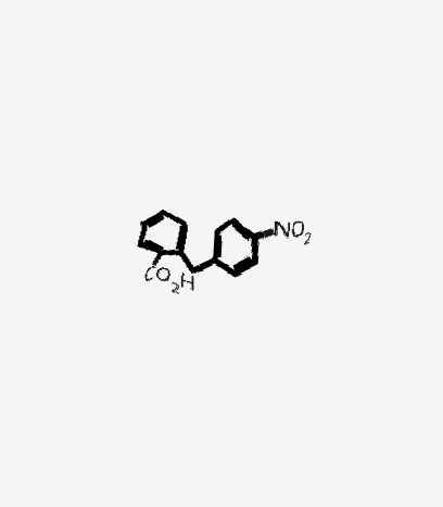 O=C(O)c1ccccc1Cc1ccc([N+](=O)[O-])cc1